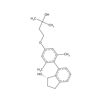 Cc1cc(OCCC(C)(C)O)cc(C)c1-c1cccc2c1[C@@H](O)CC2